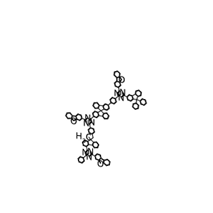 CC1(Cc2ccc(-c3nc(-c4ccc5c(c4)-c4ccccc4C54c5ccccc5-c5cc(-c6ccc(-c7nc(-c8ccc9c(c8)-c8ccccc8C9(c8ccccc8)c8ccccc8)nc(-c8ccc9c(c8)oc8ccccc89)n7)cc6)ccc54)nc(-c4ccc5c(c4)oc4ccccc45)n3)cc2)c2ccccc2-c2c(-c3nc(-c4ccccc4)nc(-c4ccc5c(c4)oc4ccccc45)n3)cccc21